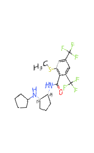 CSc1cc(C(F)(F)F)cc(C(F)(F)F)c1C(=O)N[C@@H]1CCC[C@@H]1NC1CCCC1